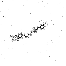 COc1ccc(CCN(C)CCCNC(=O)/C=C/c2cccc(C(F)(F)F)c2)cc1OC